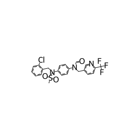 CS(=O)(=O)N(Cc1ccccc1Cl)c1ccc(N(C=O)Cc2ccc(C(F)(F)F)nc2)cc1